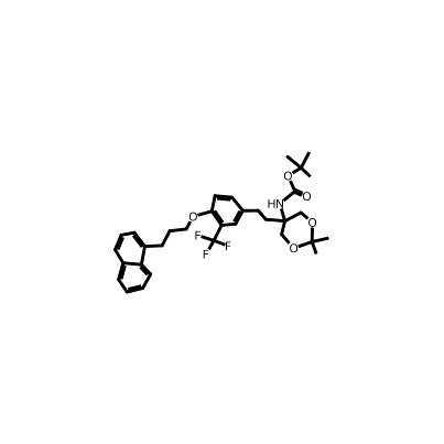 CC(C)(C)OC(=O)NC1(CCc2ccc(OCCCc3cccc4ccccc34)c(C(F)(F)F)c2)COC(C)(C)OC1